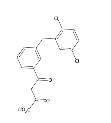 O=C(O)C(=O)CC(=O)c1cccc(Cc2cc(Cl)ccc2Cl)c1